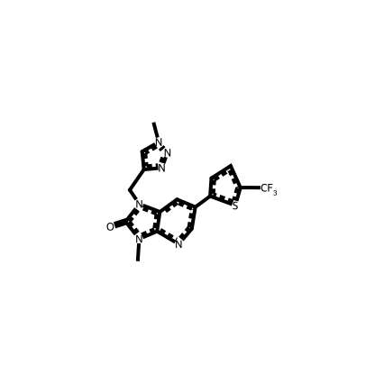 Cn1cc(Cn2c(=O)n(C)c3ncc(-c4ccc(C(F)(F)F)s4)cc32)nn1